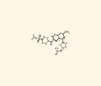 Cc1cc2cnc(NC3CCN(S(=O)(=O)C4CC4)CC3)nc2c(N2CCC(OC(F)F)C2)n1